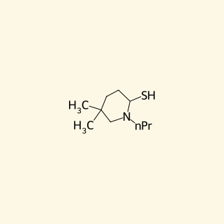 CCCN1CC(C)(C)CCC1S